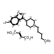 CC(=O)OCCCCN1CCC(c2noc3cc(F)ccc23)CC1.O=C(O)/C=C/C(=O)O